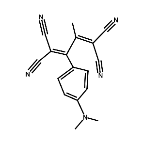 CC(=C(C#N)C#N)C(=C(C#N)C#N)c1ccc(N(C)C)cc1